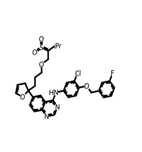 CC(C)C(COCCCC1(c2ccc3ncnc(Nc4ccc(OCc5cccc(F)c5)c(Cl)c4)c3c2)CC=CO1)=S(=O)=O